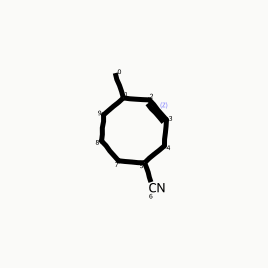 CC1/C=C\CC(C#N)CCC1